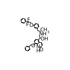 C[C@H](Cc1cccc(OCC(F)(F)c2ccccc2)c1)NC[C@H](O)c1ccc(OCc2ccccc2)c2[nH]c(=O)ccc12